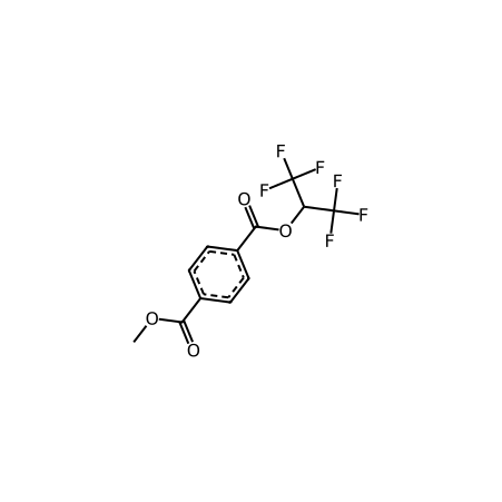 COC(=O)c1ccc(C(=O)OC(C(F)(F)F)C(F)(F)F)cc1